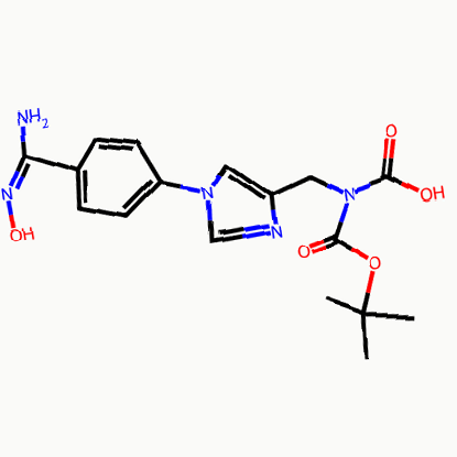 CC(C)(C)OC(=O)N(Cc1cn(-c2ccc(/C(N)=N\O)cc2)cn1)C(=O)O